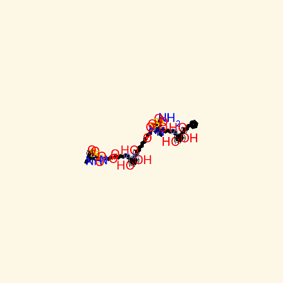 CCN[C@H]1C[C@H](C)S(=O)(=O)c2sc(S(=O)(=O)/N=C/CCOC(=O)CCC/C=C\C[C@@H]3[C@@H](/C=C/[C@@H](O)CCCCCCOCCCN4C[C@H](N(CC)C(=O)CCC/C=C\C[C@@H]5[C@@H](CC[C@@H](O)CCc6ccccc6)[C@H](O)C[C@@H]5O)c5cc(S(N)(=O)=O)sc5S4(=O)=O)[C@H](O)C[C@@H]3O)cc21